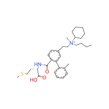 CCCC[N+](C)(CCc1ccc(C(=O)N[C@@H](CCSC)C(=O)O)c(-c2ccccc2C)c1)C1CCCCC1